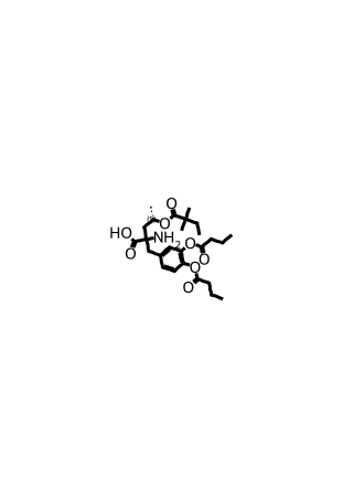 CCCC(=O)Oc1ccc(CC(N)(C[C@H](C)OC(=O)C(C)(C)CC)C(=O)O)cc1OC(=O)CCC